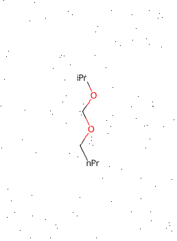 CCCCO[CH]OC(C)C